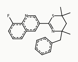 CC1(Cc2ccccc2)CC(C)(C)SC(c2cnc3c(F)cccc3c2)=N1